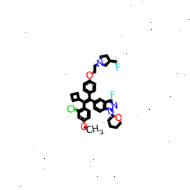 COc1ccc(C(=C(c2ccc(OCCN3CCC(CF)C3)cc2)c2ccc3c(c2)c(F)nn3C2CCCCO2)C2CCC2)c(Cl)c1